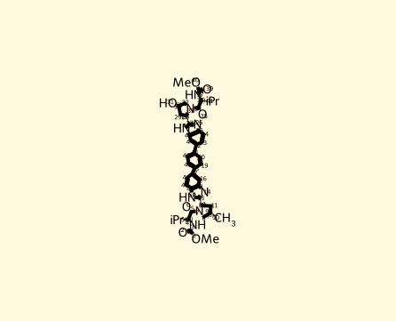 COC(=O)N[C@H](C(=O)N1C[C@@H](C)C[C@H]1c1nc2cc(-c3ccc(-c4ccc5nc([C@@H]6C[C@@H](O)CN6C(=O)[C@H](NC(=O)OC)C(C)C)[nH]c5c4)cc3)ccc2[nH]1)C(C)C